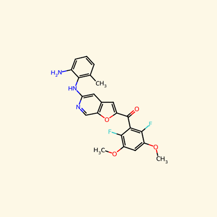 COc1cc(OC)c(F)c(C(=O)c2cc3cc(Nc4c(C)cccc4N)ncc3o2)c1F